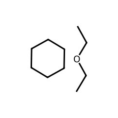 C1CCCCC1.CCOCC